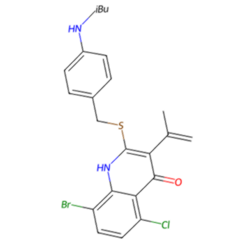 C=C(C)c1c(SCc2ccc(NC(C)CC)cc2)[nH]c2c(Br)ccc(Cl)c2c1=O